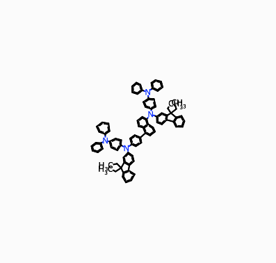 CCC1(CC)c2ccccc2-c2ccc(N(c3ccc(-c4cccc5c(N(c6ccc(N(c7ccccc7)c7ccccc7)cc6)c6ccc7c(c6)C(CC)(CC)c6ccccc6-7)cccc45)cc3)c3ccc(N(c4ccccc4)c4ccccc4)cc3)cc21